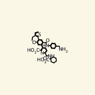 NCc1ccc(NC(=O)c2cc3c(cc2-c2ccc(C(=O)NC4(C(=O)O)CCCCC4)nc2C(=O)O)OCCc2ccsc2-3)cc1